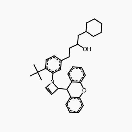 CC(C)(C)c1ccc(CCC(O)CC2CCCCC2)cc1N1C=CC1C1c2ccccc2Oc2ccccc21